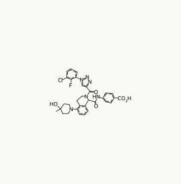 CC1(O)CCN(c2cccc3c2CCN(C(=O)c2cn(-c4cccc(Cl)c4F)nn2)C3C(=O)Nc2ccc(C(=O)O)cc2)CC1